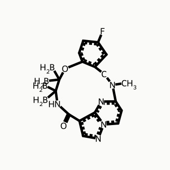 BC1(B)NC(=O)c2cnn3ccc(nc23)N(C)Cc2cc(F)ccc2OC1(B)B